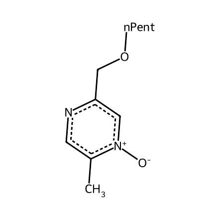 CCCCCOCc1c[n+]([O-])c(C)cn1